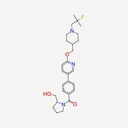 CC(C)(F)CN1CCC(COc2ccc(-c3ccc(C(=O)N4CCCC4CO)cc3)cn2)CC1